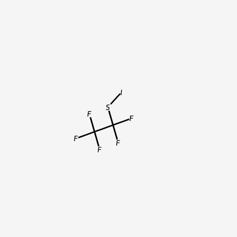 FC(F)(F)C(F)(F)SI